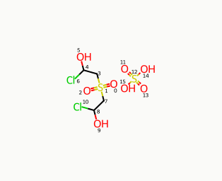 O=S(=O)(CC(O)Cl)CC(O)Cl.O=S(=O)(O)O